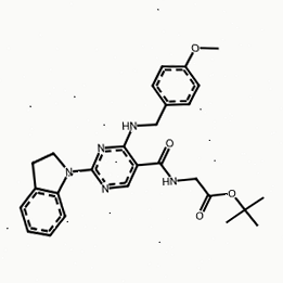 COc1ccc(CNc2nc(N3CCc4ccccc43)ncc2C(=O)NCC(=O)OC(C)(C)C)cc1